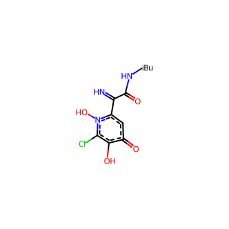 CCC(C)NC(=O)C(=N)c1cc(=O)c(O)c(Cl)n1O